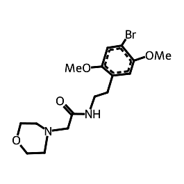 COc1cc(CCNC(=O)CN2CCOCC2)c(OC)cc1Br